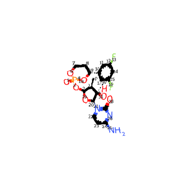 C[C@@H]1C(O[P@]2(=O)OCC[C@H](c3cc(F)cc(F)c3)O2)O[C@@H](n2ccc(N)nc2=O)[C@]1(C)O